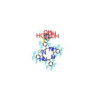 OC[C@H]1O[C@H](Sc2c(F)c(F)c(-c3c4nc(c(-c5c(F)c(F)c(F)c(F)c5F)c5ccc([nH]5)c(-c5c(F)c(F)c(F)c(F)c5F)c5nc(c(-c6c(F)c(F)c(F)c(F)c6F)c6ccc3[nH]6)C=C5)C=C4)c(F)c2F)[C@@H](O)[C@@H](O)[C@@H]1O